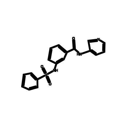 O=C(Nc1cccnc1)c1cccc(NS(=O)(=O)c2ccccc2)c1